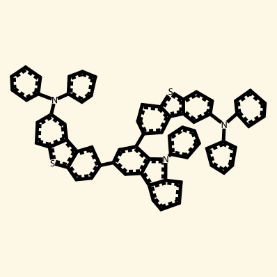 c1ccc(N(c2ccccc2)c2ccc3sc4ccc(-c5cc(-c6ccc7sc8ccc(N(c9ccccc9)c9ccccc9)cc8c7c6)c6c(c5)c5ccccc5n6-c5ccccc5)cc4c3c2)cc1